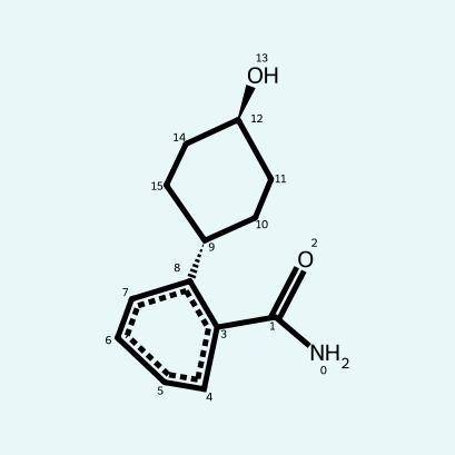 NC(=O)c1ccccc1[C@H]1CC[C@H](O)CC1